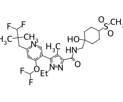 CCn1nc(C(=O)NCC2(O)CCC(S(C)(=O)=O)CC2)c(C)c1-c1cnc(CC(C)(C)C(F)F)cc1OC(F)F